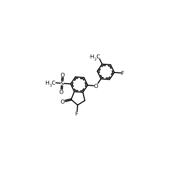 [CH2]c1cc(F)cc(Oc2ccc(S(C)(=O)=O)c3c2CC(F)C3=O)c1